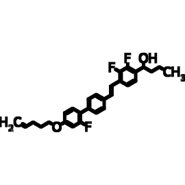 C=CCCCOc1ccc(-c2ccc(/C=C/c3ccc(C(O)CCC)c(F)c3F)cc2)c(F)c1